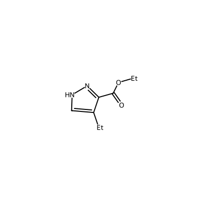 CCOC(=O)c1n[nH]cc1CC